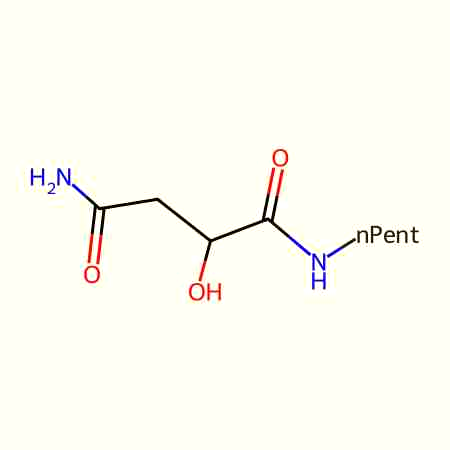 CCCCCNC(=O)C(O)CC(N)=O